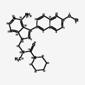 CCOc1ccc2cc(-c3nn(CN(C)C(=O)N4CCCCC4)c4ncnc(N)c34)ccc2n1